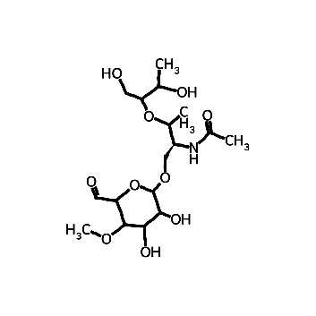 COC1C(C=O)OC(OC[C@H](NC(C)=O)C(C)OC(CO)C(C)O)C(O)C1O